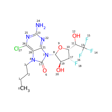 CCCCn1c(=O)n([C@@H]2O[C@H](C(O)C(F)(F)F)[C@H](F)[C@H]2O)c2nc(N)nc(Cl)c21